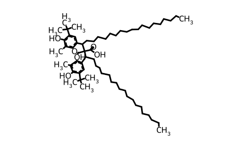 CCCCCCCCCCCCCCCCCCC(c1cc(C)c(O)c(C(C)(C)C)c1)C(C(=O)O)(C(=O)O)C(CCCCCCCCCCCCCCCCCC)c1cc(C)c(O)c(C(C)(C)C)c1